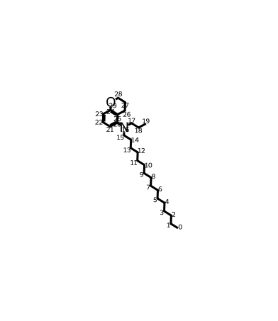 CCCCCCCCCCCCCCCCN(CCC)c1cccc2c1CCCO2